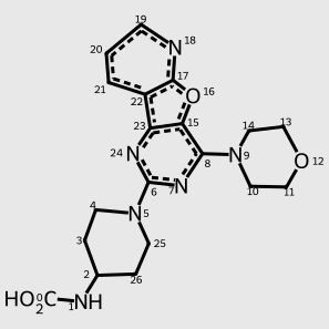 O=C(O)NC1CCN(c2nc(N3CCOCC3)c3oc4ncccc4c3n2)CC1